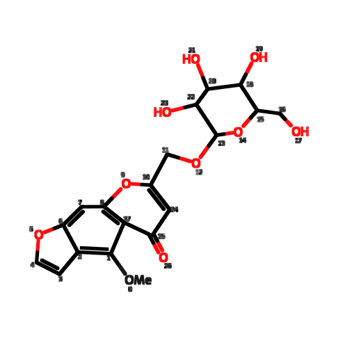 COc1c2ccoc2cc2oc(COC3OC(CO)C(O)C(O)C3O)cc(=O)c12